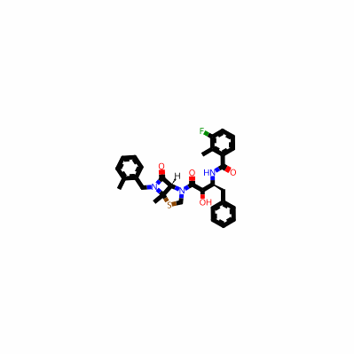 Cc1ccccc1CN1C(=O)[C@H]2N(C(=O)C(O)[C@H](Cc3ccccc3)NC(=O)c3cccc(F)c3C)CSC21C